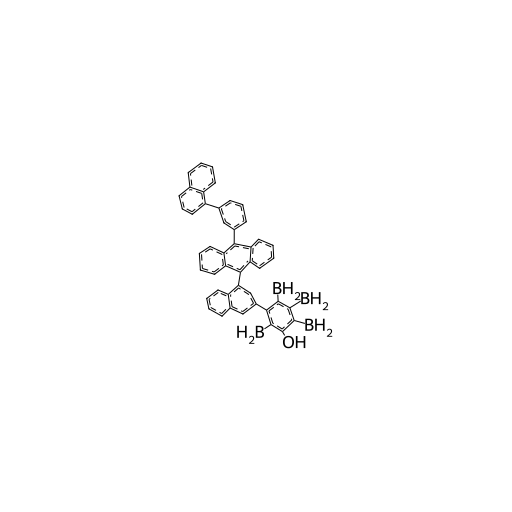 Bc1c(B)c(O)c(B)c(-c2cc(-c3c4ccccc4c(-c4cccc(-c5cccc6ccccc56)c4)c4ccccc34)c3ccccc3c2)c1B